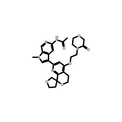 CC(=O)Nc1cc2c(-c3cc(OCCN4CCOCC4=O)c4c(n3)C3(CCOC3)OCC4)cn(C)c2cn1